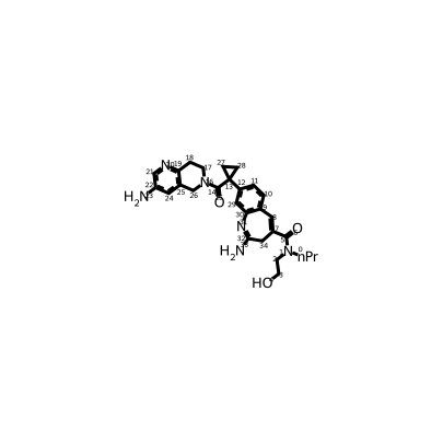 CCCN(CCO)C(=O)C1=Cc2ccc(C3(C(=O)N4CCc5ncc(N)cc5C4)CC3)cc2N=C(N)C1